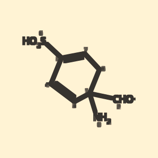 NC1([C]=O)C=CC(S(=O)(=O)O)=CC1